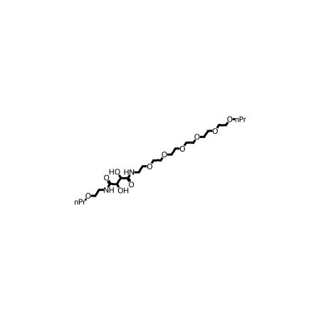 CCCOCCNC(=O)C(O)C(O)C(=O)NCCOCCOCCOCCOCCOCCOCCC